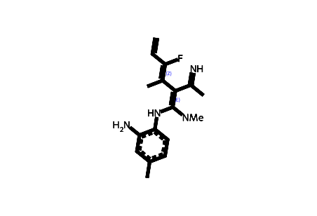 C=C/C(F)=C(C)/C(C(C)=N)=C(/NC)Nc1ccc(C)cc1N